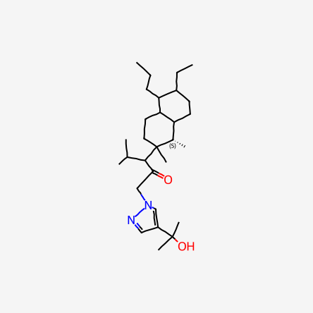 CCCC1C(CC)CCC2C1CCC(C)(C(C(=O)Cn1cc(C(C)(C)O)cn1)C(C)C)[C@H]2C